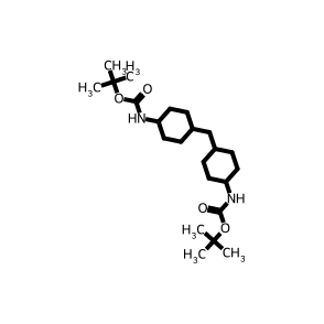 CC(C)(C)OC(=O)NC1CCC(CC2CCC(NC(=O)OC(C)(C)C)CC2)CC1